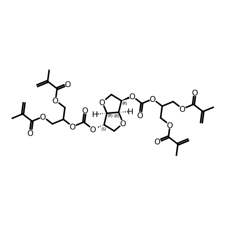 C=C(C)C(=O)OCC(COC(=O)C(=C)C)OC(=O)O[C@H]1CO[C@H]2[C@@H]1OC[C@H]2OC(=O)OC(COC(=O)C(=C)C)COC(=O)C(=C)C